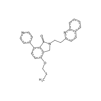 CSCOc1ccc(-c2ccncc2)c2c1CN(CCc1ccc3ccccc3n1)C2=O